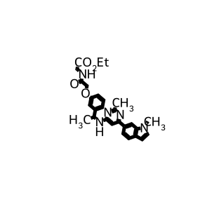 CCOC(=O)CNC(=O)COc1cccc(C(C)Nc2cc(-c3ccc4ccn(C)c4c3)nc(C)n2)c1